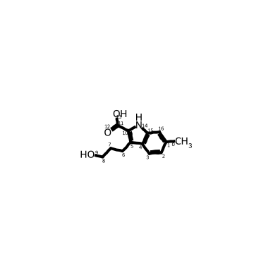 Cc1ccc2c(CCCO)c(C(=O)O)[nH]c2c1